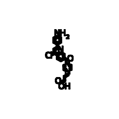 Nc1ccc(-c2cc(Cl)c3ccc(C(=O)N4CCN(CCCC(=O)O)CC4)cc3n2)cc1